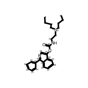 CCCCN(CCCC)CCNC(=O)Oc1cnc(-c2ccccc2)c2ccccc12